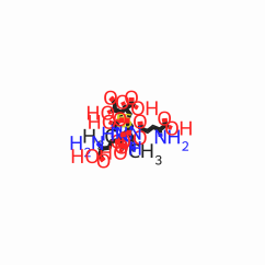 CN(C(=O)O)C(=O)C(CSCC1(C(=O)O)OC(=O)C(O)=C1SCC(NC(=O)CCC(N)C(=O)O)C(=O)N(C)C(=O)O)NC(=O)CCC(N)C(=O)O